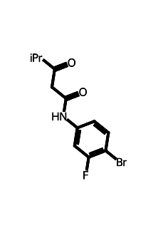 CC(C)C(=O)CC(=O)Nc1ccc(Br)c(F)c1